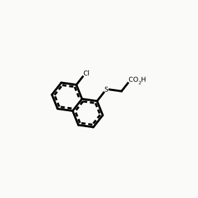 O=C(O)CSc1cccc2cccc(Cl)c12